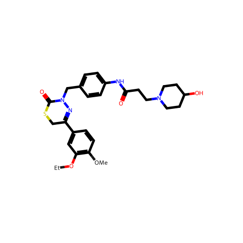 CCOc1cc(C2=NN(Cc3ccc(NC(=O)CCN4CCC(O)CC4)cc3)C(=O)SC2)ccc1OC